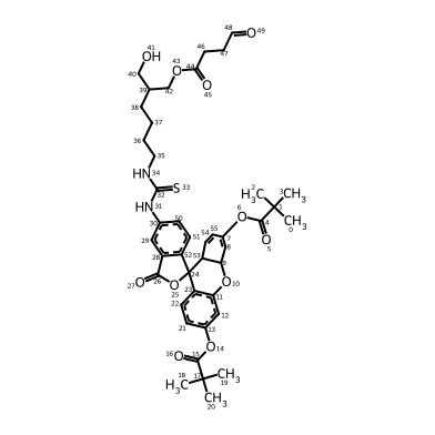 CC(C)(C)C(=O)OC1=CC2Oc3cc(OC(=O)C(C)(C)C)ccc3C3(OC(=O)c4cc(NC(=S)NCCCCC(CO)COC(=O)CCC=O)ccc43)C2C=C1